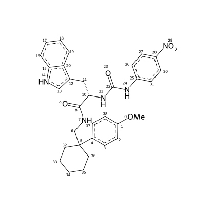 COc1ccc(C2(CNC(=O)[C@H](Cc3c[nH]c4ccccc34)NC(=O)Nc3ccc([N+](=O)[O-])cc3)CCCCC2)cc1